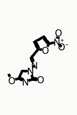 COC1=NC(=O)N(N=Cc2ccc([N+](=O)[O-])o2)C1